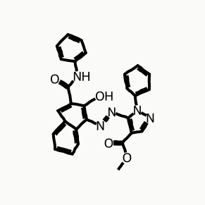 COC(=O)c1cnn(-c2ccccc2)c1/N=N/c1c(O)c(C(=O)Nc2ccccc2)cc2ccccc12